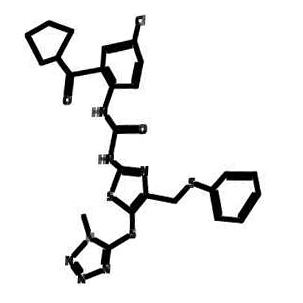 Cn1nnnc1Sc1sc(NC(=O)Nc2ccc(Cl)cc2C(=O)C2CCCC2)nc1CSc1ccccc1